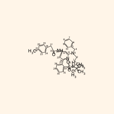 CCCN(Cc1ccccc1)c1cc(NC(=O)Cc2ccc(C)cc2)cc(-c2ccccc2S(=O)(=O)NC(C)(C)C)n1